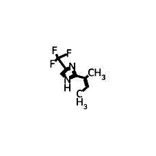 C/C=C(/C)c1nc(C(F)(F)F)c[nH]1